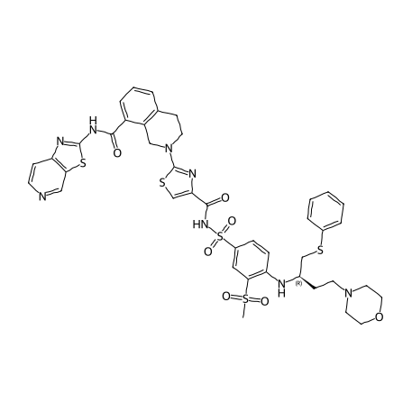 CS(=O)(=O)c1cc(S(=O)(=O)NC(=O)c2csc(N3CCc4cccc(C(=O)Nc5nc6ccncc6s5)c4C3)n2)ccc1N[C@H](CCN1CCOCC1)CSc1ccccc1